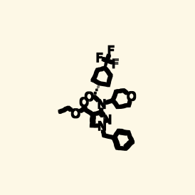 CCOC(=O)c1cn(Cc2ccccc2)nc1N(C(=O)[C@H]1CC[C@H](C(F)(F)F)CC1)C1CCOCC1